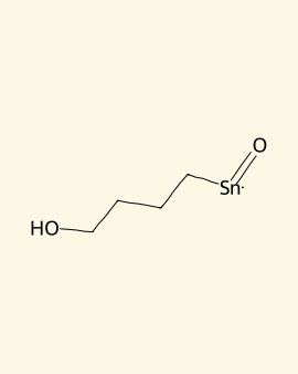 [O]=[Sn][CH2]CCCO